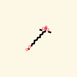 CCOP(=O)(CCCCCCCCCCCOC=O)OCC